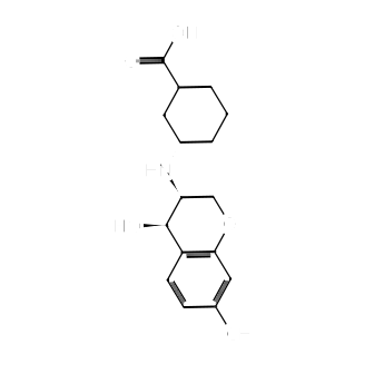 Cc1ccc2c(c1)OC[C@H](N[C@H]1CCCC(C(=O)O)C1)[C@@H]2O